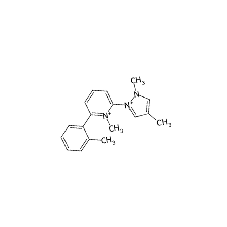 Cc1cn(C)[n+](-c2cccc(-c3ccccc3C)[n+]2C)c1